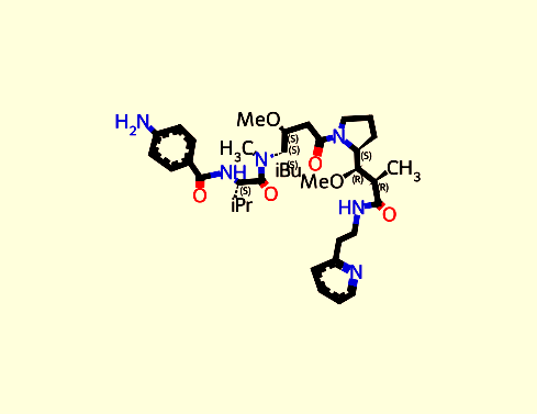 CC[C@H](C)[C@@H]([C@H](CC(=O)N1CCC[C@H]1[C@H](OC)[C@@H](C)C(=O)NCCc1ccccn1)OC)N(C)C(=O)[C@@H](NC(=O)c1ccc(N)cc1)C(C)C